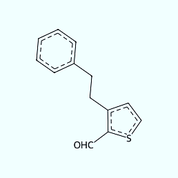 O=Cc1sccc1CCc1ccccc1